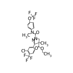 CCOC(=O)C1(C)CN(C(=O)N(C)c2ccc(OC(F)(F)F)cc2)N=C1c1ccc(C(F)(F)F)c(Cl)c1